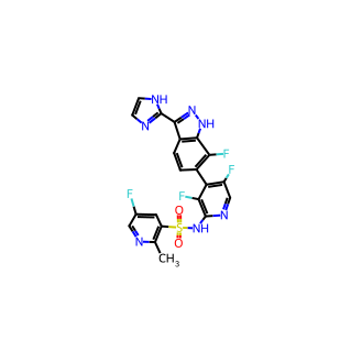 Cc1ncc(F)cc1S(=O)(=O)Nc1ncc(F)c(-c2ccc3c(-c4ncc[nH]4)n[nH]c3c2F)c1F